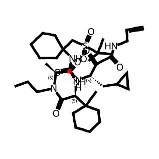 C=CCNC(=O)C(=O)[C@H](CC1CC1)NC(=O)[C@H](C)N(CCC)C(=O)[C@@H](NC(=O)NC1(CS(=O)(=O)C(C)(C)C)CCCCC1)C1(C)CCCCC1